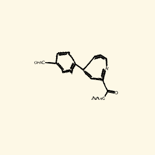 COC(=O)c1cc(-c2ccc(C=O)cc2)ccn1